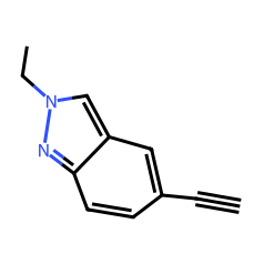 C#Cc1ccc2nn(CC)cc2c1